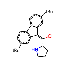 CC(C)(C)c1ccc2c(c1)C(=C(O)[C@@H]1CCCN1)c1cc(C(C)(C)C)ccc1-2